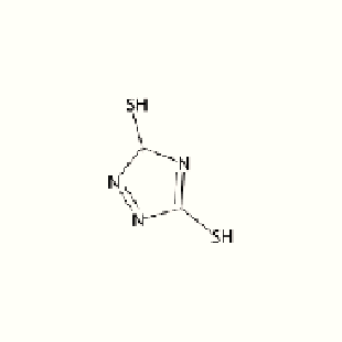 S[C]1N=NC(S)=N1